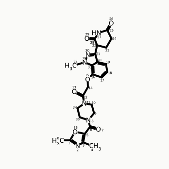 Cc1nc(C)c(C(=O)N2CCN(C(=O)COc3cccc4c(C5CCC(=O)NC5=O)nn(C)c34)CC2)o1